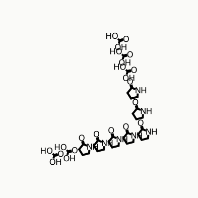 O=C(O)O.O=C(O)O.O=C(O)O.O=C(O)O.O=C(O)O.O=C1CCCN1.O=C1CCCN1.O=C1CCCN1.O=C1CCCN1.O=C1CCCN1.O=C1CCCN1.O=C1CCCN1